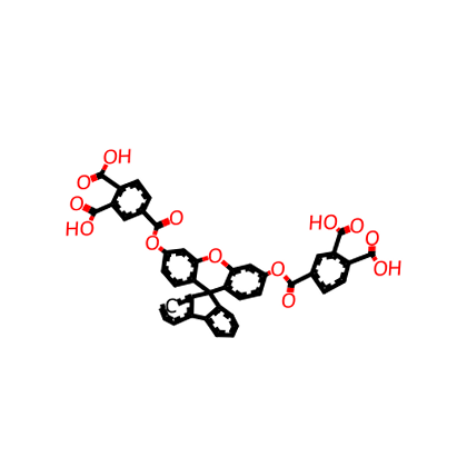 O=C(Oc1ccc2c(c1)Oc1cc(OC(=O)c3ccc(C(=O)O)c(C(=O)O)c3)ccc1C21c2ccccc2-c2ccccc21)c1ccc(C(=O)O)c(C(=O)O)c1